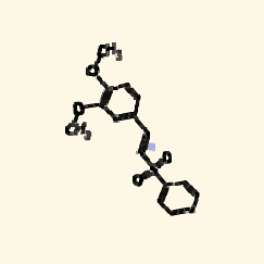 COc1ccc(/C=C/S(=O)(=O)c2ccccc2)cc1OC